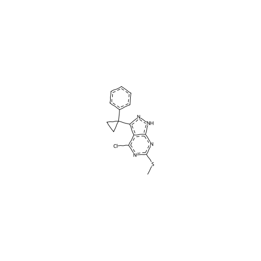 CSc1nc(Cl)c2c(C3(c4ccccc4)CC3)n[nH]c2n1